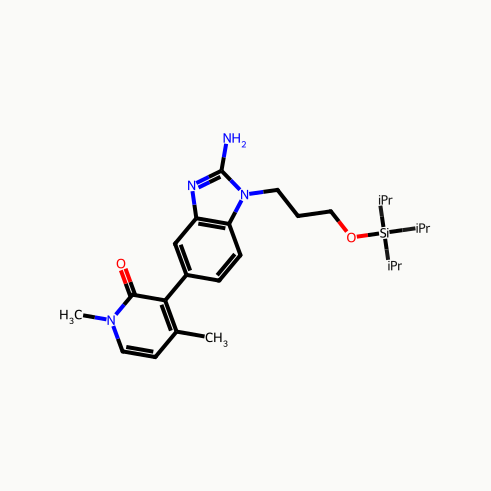 Cc1ccn(C)c(=O)c1-c1ccc2c(c1)nc(N)n2CCCO[Si](C(C)C)(C(C)C)C(C)C